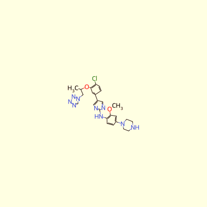 COc1cc(N2CCNCC2)ccc1Nc1ncc(-c2ccc(Cl)c(OC(C)Cn3cnnn3)c2)cn1